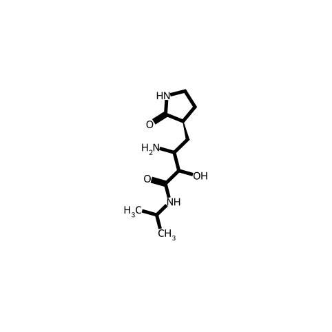 CC(C)NC(=O)C(O)C(N)C[C@@H]1CCNC1=O